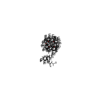 CCCC(C)C[NH+](CC(C)CCC)c1cccc(F)c1F.CCc1c(F)c(F)c(F)c2c(F)c(F)c(F)c([B-](c3c(F)c(F)c(F)c4c(F)c(F)c(F)c(CC)c34)(c3c(F)c(F)c(F)c4c(F)c(F)c(F)c(CC)c34)c3c(F)c(F)c(F)c4c(F)c(F)c(F)c(CC)c34)c12